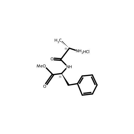 COC(=O)[C@H](Cc1ccccc1)NC(=O)[C@H](C)N.Cl